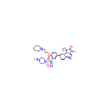 CN1CCN(S(=O)(=O)Nc2cc(-c3ccc4ncc5c(c4c3)C3(CCC3)C(=O)N5C)cnc2OCCCN2CCCCC2)CC1